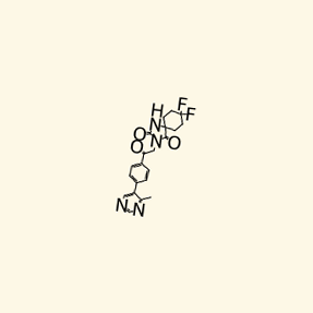 Cc1ncncc1-c1ccc(C(=O)CN2C(=O)NC3(CCC(F)(F)CC3)C2=O)cc1